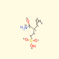 C=CC(CCS(=O)(=O)O)C(N)=O